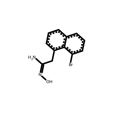 N/C(Cc1cccc2cccc(Br)c12)=N/O